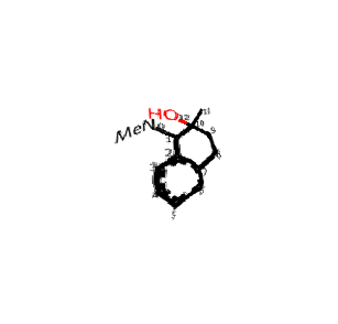 CNC1c2ccccc2CCC1(C)O